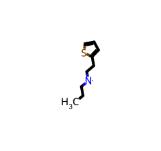 CCC[N]CCc1cccs1